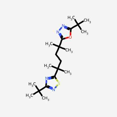 CC(C)(C)c1nsc(C(C)(C)CCC(C)(C)c2nnc(C(C)(C)C)o2)n1